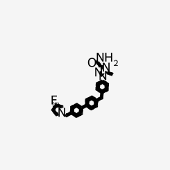 Cc1nc(C(N)=O)nn1-c1ccc(Cc2ccc(-c3ccc(CN4CC[C@H](F)C4)cc3)cc2)cc1